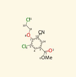 COC(=O)c1cc(Cl)c(OCCCl)c(C#N)c1